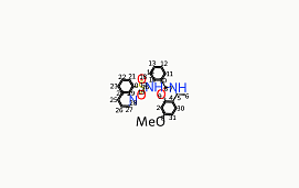 COc1ccc([C@H](C)NC(=O)c2ccccc2NS(=O)(=O)c2cccc3cccnc23)cc1